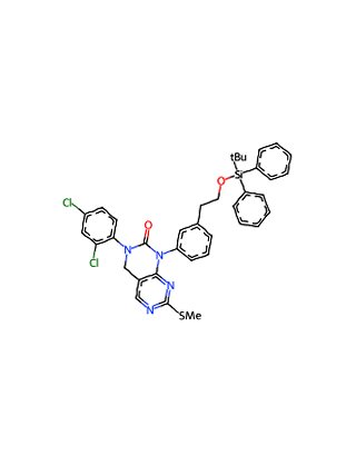 CSc1ncc2c(n1)N(c1cccc(CCO[Si](c3ccccc3)(c3ccccc3)C(C)(C)C)c1)C(=O)N(c1ccc(Cl)cc1Cl)C2